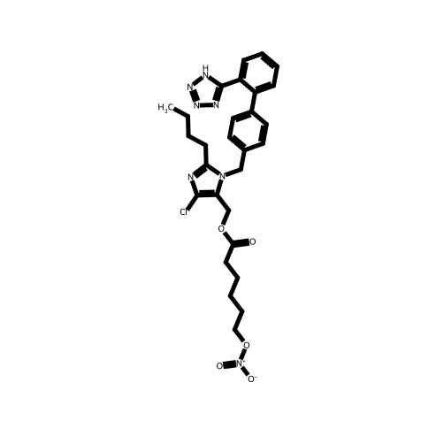 CCCCc1nc(Cl)c(COC(=O)CCCCCO[N+](=O)[O-])n1Cc1ccc(-c2ccccc2-c2nnn[nH]2)cc1